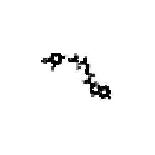 C=C(CCNC(=O)c1cnc2cc(F)ccc2n1)NC(=O)COc1ccc(Cl)c(F)c1